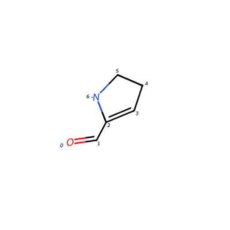 O=CC1=CCC[N]1